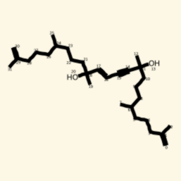 C=C(C)CCCC(C)CCCC(C)(O)C#CC=CC(C)(O)CCCC(C)CCCC(=C)C